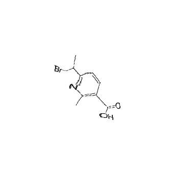 Cc1nc(C(C)Br)ccc1C(=O)O